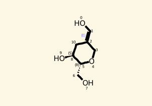 O/C=C1/CO[C@H](CO)[C@@H](O)C1